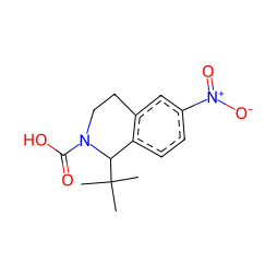 CC(C)(C)C1c2ccc([N+](=O)[O-])cc2CCN1C(=O)O